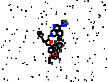 CCCCC1CC(C23C[C@@H]4[C@H](C)CC[C@H]4C4(C=O)CC2C=C(C(C)C)C34C(=O)O)OC1CN(Cc1ccccn1)Cc1cccc(CNC)n1